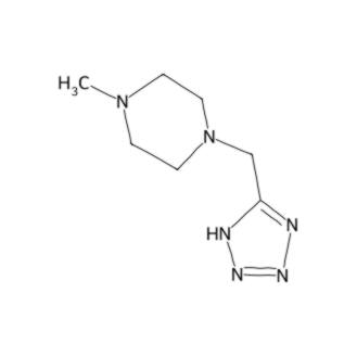 CN1CCN(Cc2nnn[nH]2)CC1